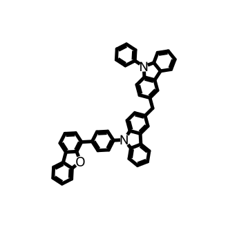 C1=CC2c3cc(Cc4ccc5c(c4)c4ccccc4n5-c4ccc(-c5cccc6c5oc5ccccc56)cc4)ccc3N(c3ccccc3)C2C=C1